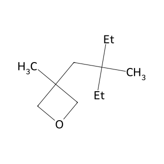 CCC(C)(CC)CC1(C)COC1